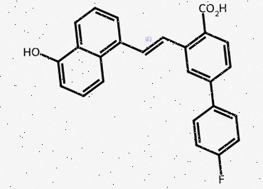 O=C(O)c1ccc(-c2ccc(F)cc2)cc1/C=C/c1cccc2c(O)cccc12